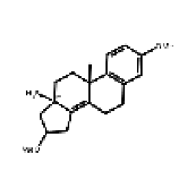 B[C@@]12CCC3(C)C(=C1CC(OC)C2)CCc1cc(OC)ccc13